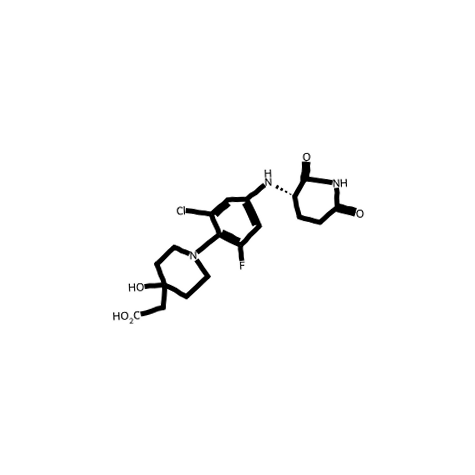 O=C(O)CC1(O)CCN(c2c(F)cc(N[C@H]3CCC(=O)NC3=O)cc2Cl)CC1